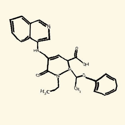 CCN1C(=O)C(Nc2cncc3ccccc23)=CC(C(=O)O)N1C(C)Oc1ccccc1